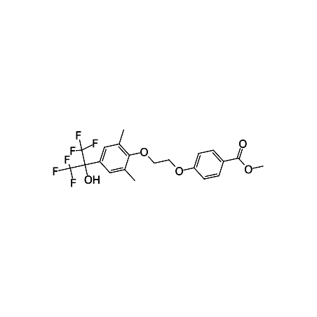 COC(=O)c1ccc(OCCOc2c(C)cc(C(O)(C(F)(F)F)C(F)(F)F)cc2C)cc1